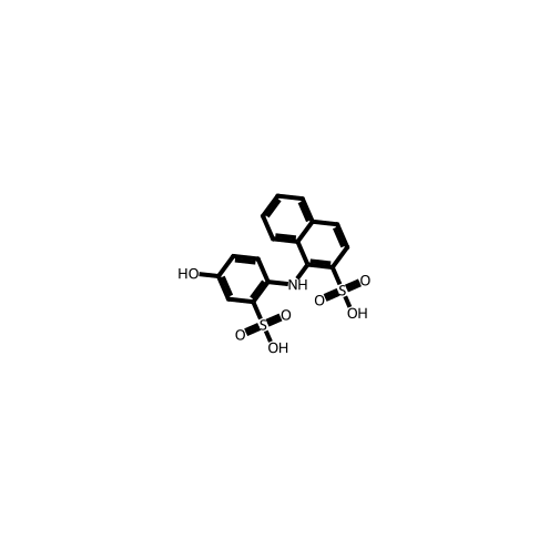 O=S(=O)(O)c1cc(O)ccc1Nc1c(S(=O)(=O)O)ccc2ccccc12